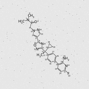 CN(C)C(=O)Cn1cc(-c2nc([C@@](C)(c3ccc(-c4ccc(F)nc4N)cc3)C3CC3)no2)cn1